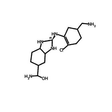 NCC1CCC(Cl)=C(N[C@@H]2NC3CCC(C(N)O)CC3N2)C1